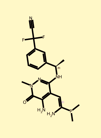 C[C@@H](Nc1nn(C)c(=O)c(N)c1/C=C(\N)P(C)C)c1cccc(C(F)(F)C#N)c1